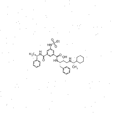 CCS(=O)(=O)Nc1cc(C(=O)N[C@@H](Cc2ccccc2)[C@H](O)CN[C@@H](C)C2CCCCC2)cc(C(=O)N[C@H](C)c2ccccc2)c1